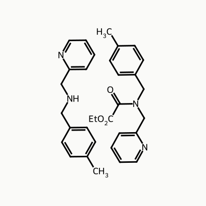 CCOC(=O)C(=O)N(Cc1ccc(C)cc1)Cc1ccccn1.Cc1ccc(CNCc2ccccn2)cc1